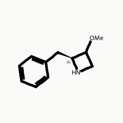 COC1CN[C@H]1Cc1ccccc1